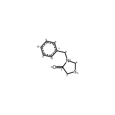 O=C1CSCN1Cc1ccccc1